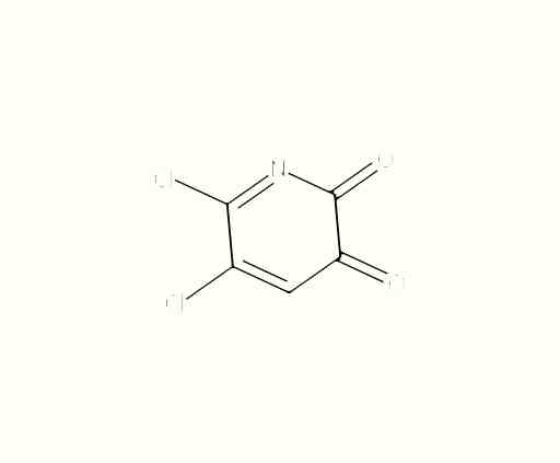 O=C1C=C(Cl)C(Cl)=NC1=O